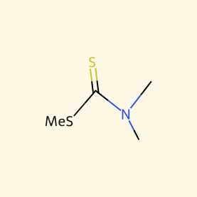 CSC(=S)N(C)C